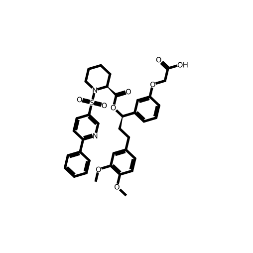 COc1ccc(CC[C@@H](OC(=O)[C@@H]2CCCCN2S(=O)(=O)c2ccc(-c3ccccc3)nc2)c2cccc(OCC(=O)O)c2)cc1OC